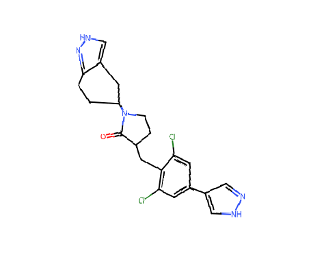 O=C1C(Cc2c(Cl)cc(-c3cn[nH]c3)cc2Cl)CCN1C1CCc2n[nH]cc2C1